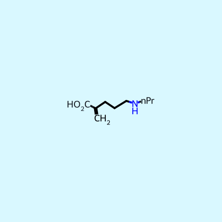 C=C(CCCNCCC)C(=O)O